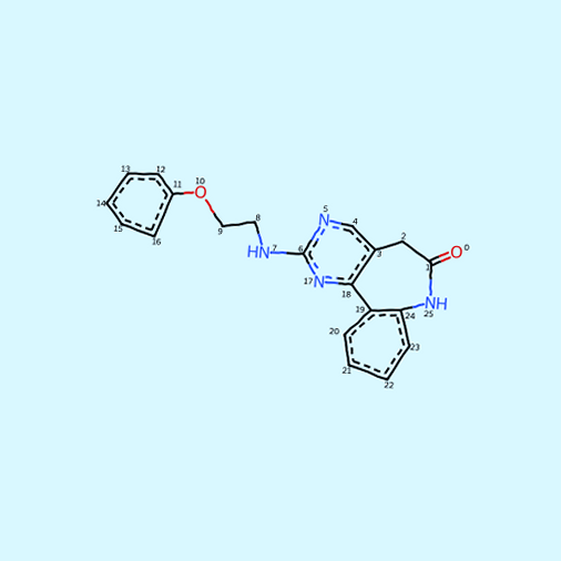 O=C1Cc2cnc(NCCOc3ccccc3)nc2-c2ccccc2N1